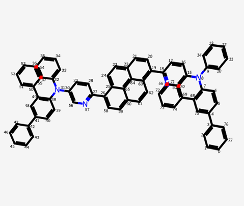 c1ccc(-c2ccc(N(c3ccccc3)c3ccc(-c4ccc5ccc6c(-c7ccc(N(c8ccccc8)c8ccc(-c9ccccc9)cc8-c8ccccc8)cn7)ccc7ccc4c5c76)nc3)c(-c3ccccc3)c2)cc1